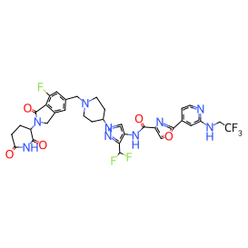 O=C1CCC(N2Cc3cc(CN4CCC(n5cc(NC(=O)c6coc(-c7ccnc(NCC(F)(F)F)c7)n6)c(C(F)F)n5)CC4)cc(F)c3C2=O)C(=O)N1